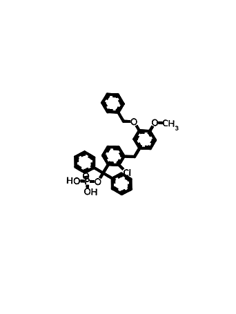 COc1ccc(Cc2cccc(C(OP(=O)(O)O)(c3ccccc3)c3ccccc3)c2Cl)cc1OCc1ccccc1